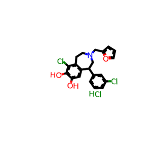 Cl.Oc1cc2c(c(Cl)c1O)CCN(Cc1ccco1)CC2c1cccc(Cl)c1